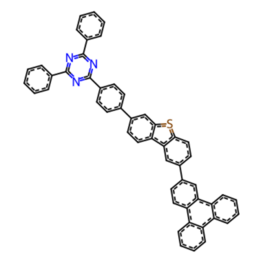 c1ccc(-c2nc(-c3ccccc3)nc(-c3ccc(-c4ccc5c(c4)sc4ccc(-c6ccc7c8ccccc8c8ccccc8c7c6)cc45)cc3)n2)cc1